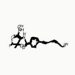 CC(C)C#CC#Cc1ccc(C(=O)NC(C(=O)NO)C(C)(O)C(F)F)cc1